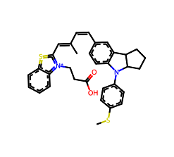 CSc1ccc(N2c3ccc(/C=C\C(C)=C\c4sc5ccccc5[n+]4CCC(=O)O)cc3C3CCCC32)cc1